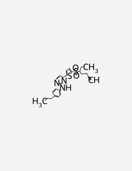 C#CCCC(CC)S(=O)(=O)c1ccc(-c2ccnc(Nc3ccc(CCC)cc3)n2)s1